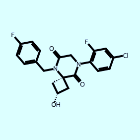 O=C1CN(c2ccc(Cl)cc2F)C(=O)[C@]2(C[C@@H](O)C2)N1Cc1ccc(F)cc1